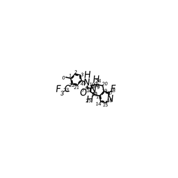 Cc1ccc(NC(=O)N2[C@H]3CC[C@@H]2c2ccnc(F)c2C3)cc1C(F)(F)F